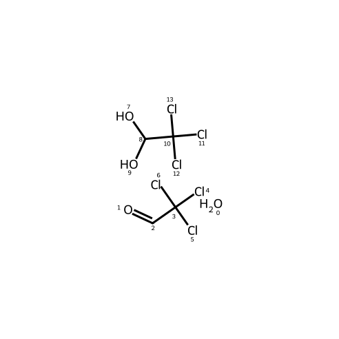 O.O=CC(Cl)(Cl)Cl.OC(O)C(Cl)(Cl)Cl